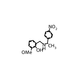 COc1cccc(CN[C@H](C)c2ccc([N+](=O)[O-])cc2)c1O